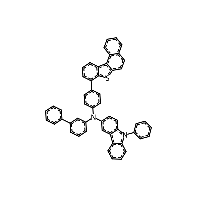 c1ccc(-c2cccc(N(c3ccc(-c4cccc5c4sc4ccc6ccccc6c45)cc3)c3ccc4c(c3)c3ccccc3n4-c3ccccc3)c2)cc1